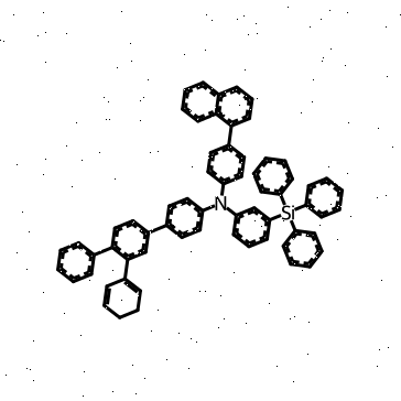 C1=CC(c2cc(-c3ccc(N(c4ccc(-c5cccc6ccccc56)cc4)c4cccc([Si](c5ccccc5)(c5ccccc5)c5ccccc5)c4)cc3)ccc2-c2ccccc2)=CCC1